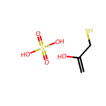 C=C(O)CS.O=S(=O)(O)O